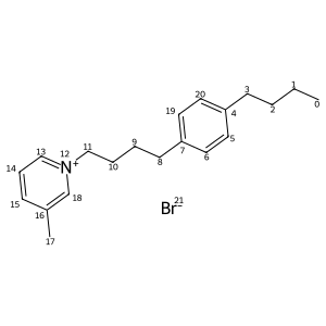 CCCCc1ccc(CCCC[n+]2cccc(C)c2)cc1.[Br-]